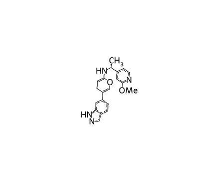 COc1cc([C@H](C)NC2=CCC(c3ccc4cn[nH]c4c3)=CO2)ccn1